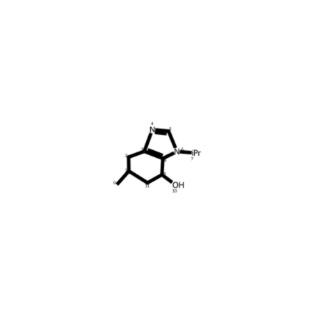 CC1Cc2ncn(C(C)C)c2C(O)C1